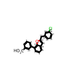 O=C(O)c1cccc(-c2cccc3cc(Cc4cccc(Cl)c4)oc23)c1